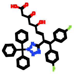 O=C(O)CC(=O)CC(O)C=CC(=C(c1ccc(F)cc1)c1ccc(F)cc1)c1nnn(C(c2ccccc2)(c2ccccc2)c2ccccc2)n1